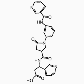 O=C(O)CC(NC(=O)C1CC(=O)N(c2cccc(NC(=O)c3cccnc3)c2)C1)c1cccnc1